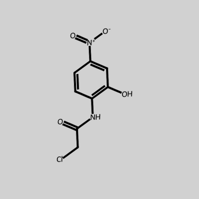 O=C(CCl)Nc1ccc([N+](=O)[O-])cc1O